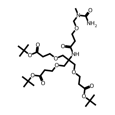 CN(COCCC(=O)NC(COCCC(=O)OC(C)(C)C)(COCCC(=O)OC(C)(C)C)COCCC(=O)OC(C)(C)C)C(N)=O